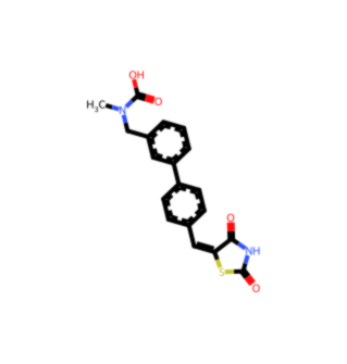 CN(Cc1cccc(-c2ccc(/C=C3/SC(=O)NC3=O)cc2)c1)C(=O)O